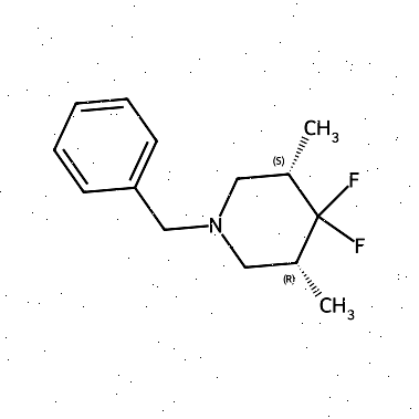 C[C@@H]1CN(Cc2ccccc2)C[C@H](C)C1(F)F